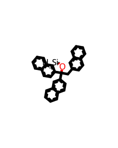 [SiH3]OC(Cc1ccc2ccccc2c1)(c1ccc2ccccc2c1)c1ccc2ccccc2c1